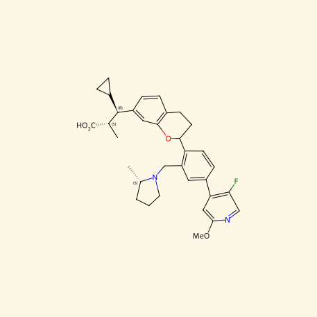 COc1cc(-c2ccc(C3CCc4ccc([C@H](C5CC5)[C@H](C)C(=O)O)cc4O3)c(CN3CCC[C@@H]3C)c2)c(F)cn1